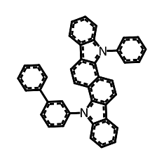 c1ccc(-c2cccc(-n3c4ccccc4c4ccc5c(ccc6c7ccccc7n(-c7ccccc7)c65)c43)c2)cc1